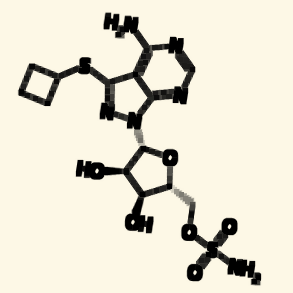 Nc1ncnc2c1c(SC1CCC1)nn2[C@@H]1O[C@H](COS(N)(=O)=O)[C@@H](O)[C@H]1O